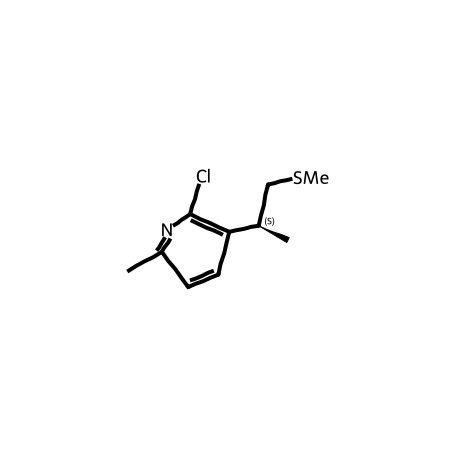 CSC[C@@H](C)c1ccc(C)nc1Cl